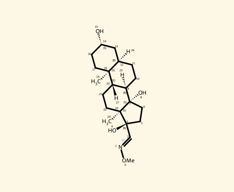 CO/N=C/[C@@]1(O)CC[C@]2(O)[C@@H]3CC[C@@H]4C[C@@H](O)CC[C@]4(C)[C@H]3CC[C@]12C